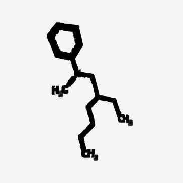 CCCCC(CC)CN(C)c1ccccc1